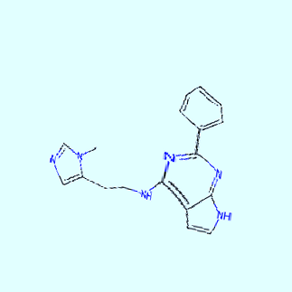 Cn1cncc1CCNc1nc(-c2ccccc2)nc2[nH]ccc12